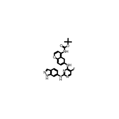 CC(C)(C)OC(=O)NC1=C2CC(Nc3nc(Nc4ccc5cn[nH]c5c4)ncc3F)=CC=C2OC=C1